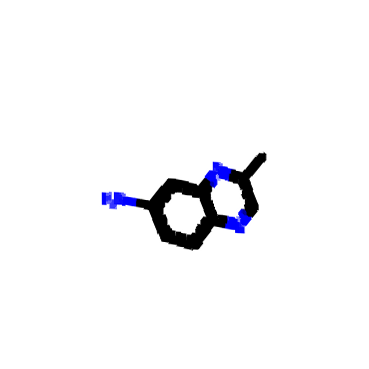 Cc1cnc2ccc(N)cc2n1